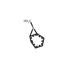 O=C(O)N1c2ccccc21